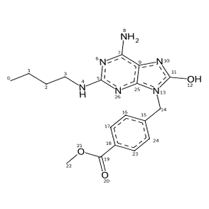 CCCCNc1nc(N)c2nc(O)n(Cc3ccc(C(=O)OC)cc3)c2n1